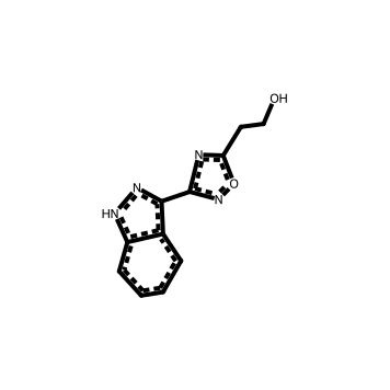 OCCc1nc(-c2n[nH]c3ccccc23)no1